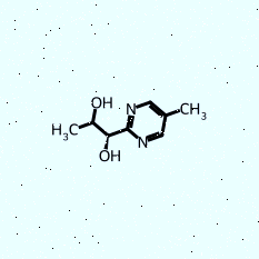 Cc1cnc([C@@H](O)C(C)O)nc1